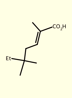 CCC(C)(C)CC=C(C)C(=O)O